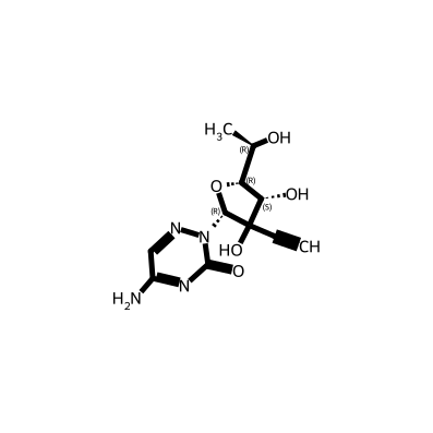 C#CC1(O)[C@@H](O)[C@@H]([C@@H](C)O)O[C@H]1n1ncc(N)nc1=O